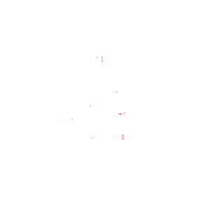 C[C@@H]1OC(OCCN)[C@@H](O)C(O)[C@H]1O